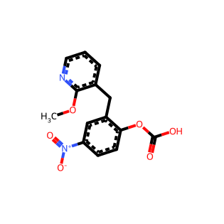 COc1ncccc1Cc1cc([N+](=O)[O-])ccc1OC(=O)O